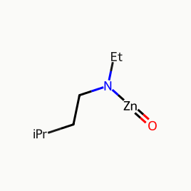 CC[N](CCC(C)C)[Zn]=[O]